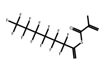 C=C(C)C(=O)SC(=C)C(F)(F)C(F)(F)C(F)(F)C(F)(F)C(F)(F)C(F)(F)F